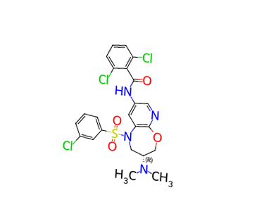 CN(C)[C@H]1COc2ncc(NC(=O)c3c(Cl)cccc3Cl)cc2N(S(=O)(=O)c2cccc(Cl)c2)C1